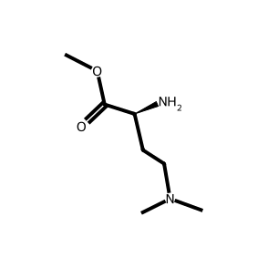 COC(=O)[C@@H](N)CCN(C)C